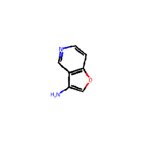 Nc1coc2ccncc12